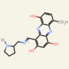 CCN1CCCC1C/N=C/c1c(O)cc(O)c2nc3c(C(=O)O)ccc(O)c3nc12